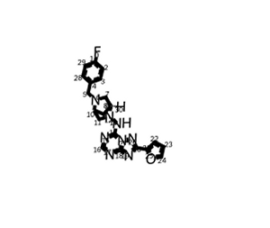 Fc1ccc(CN2C[C@@H]3CC2CN3Nc2ncnc3nc(-c4ccco4)nn23)cc1